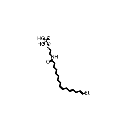 CCC=CCC=CC/C=C\CCCCCCCC(=O)NCCSOP(=O)(O)O